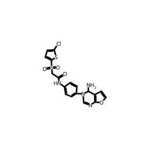 NC1c2ccoc2N=CN1c1ccc(NC(=O)CS(=O)(=O)c2ccc(Cl)s2)cc1